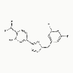 Fc1cc(F)cc(Cn2ccc(-c3ccc(C(F)F)c(F)c3)n2)c1